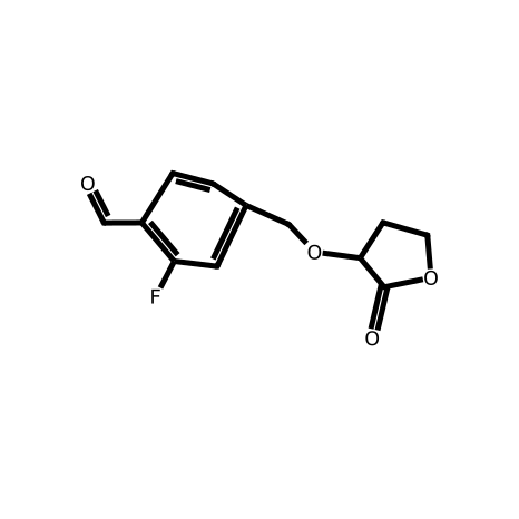 O=Cc1ccc(COC2CCOC2=O)cc1F